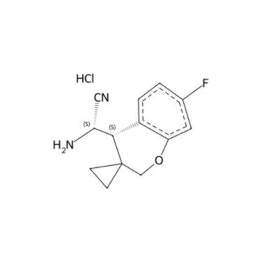 Cl.N#C[C@@H](N)[C@@H]1c2ccc(F)cc2OCC12CC2